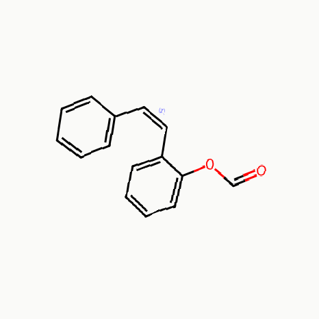 O=COc1ccccc1/C=C\c1ccccc1